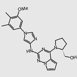 COc1cc(-n2cnc(Nc3nc(N4CCC[C@@H]4CO)c4cccn4n3)c2)cc(C)c1C